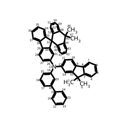 CC1(C)c2ccccc2-c2ccc(N(c3cccc(-c4ccccc4)c3)c3ccc4c(c3)C3(c5ccccc5-4)c4ccccc4C(C)(C)c4ccccc43)cc21